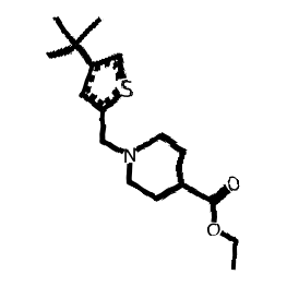 CCOC(=O)C1CCN(Cc2cc(C(C)(C)C)cs2)CC1